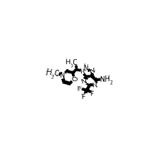 CC(C1CN(C)CCO1)n1nnc2c(N)nc(C(F)(F)F)nc21